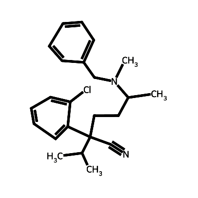 CC(CCC(C#N)(c1ccccc1Cl)C(C)C)N(C)Cc1ccccc1